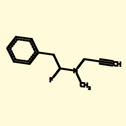 C#CCN(C)C(F)Cc1ccccc1